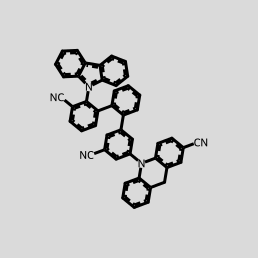 N#Cc1cc(-c2ccccc2-c2cccc(C#N)c2-n2c3ccccc3c3ccccc32)cc(N2c3ccccc3Cc3cc(C#N)ccc32)c1